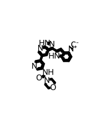 [C-]#[N+]c1cccc2[nH]c(-c3n[nH]c4ncc(-c5cncc(NC(=O)N6CCOCC6)c5)cc34)cc12